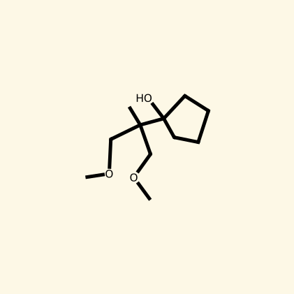 COCC(C)(COC)C1(O)CCCC1